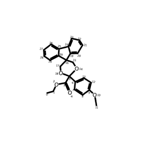 CCOC(=O)C1(c2ccc(OC)cc2)OCC2(CO1)c1ccccc1-c1ccccc12